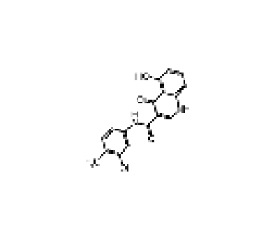 O=C(Nc1ccc(C(F)(F)F)c(O)c1)c1c[nH]c2cccc(O)c2c1=O